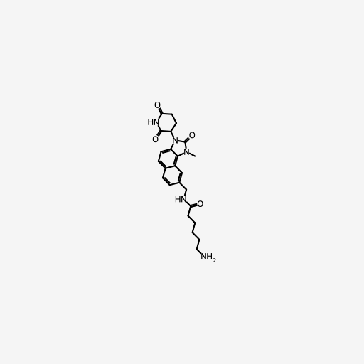 Cn1c(=O)n(C2CCC(=O)NC2=O)c2ccc3ccc(CNC(=O)CCCCCN)cc3c21